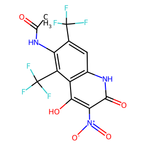 CC(=O)Nc1c(C(F)(F)F)cc2[nH]c(=O)c([N+](=O)[O-])c(O)c2c1C(F)(F)F